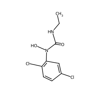 CCNC(=O)N(O)c1cc(Cl)ccc1Cl